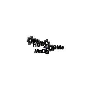 COC(=O)/C(=C/c1ccccc1OCC(O)CNCc1ccccc1)c1ccc(OC)cc1